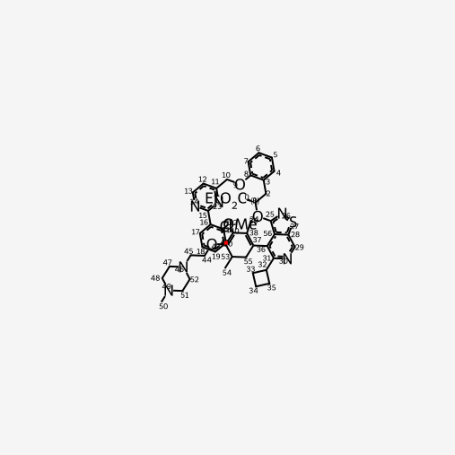 CCOC(=O)[C@@H](Cc1ccccc1OCc1ccnc(-c2ccccc2OC)n1)Oc1nsc2cnc(C3CCC3)c(C3=C(C)C(Cl)=C(OCCN4CCN(C)CC4)C(C)C3)c12